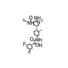 Cc1cc(NC(=O)[C@@H](O)c2cc(F)cc(F)c2)ccc1-c1cnc(N)c(C(=O)NC2CC2)c1